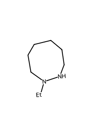 [CH2]CN1CCCCCCN1